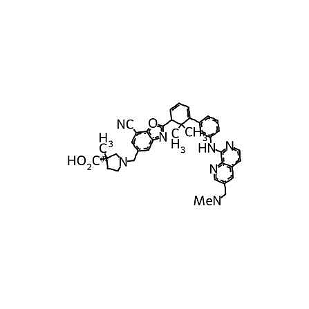 CNCc1cnc2c(Nc3cccc(C4=CC=CC(c5nc6cc(CN7CC[C@@](C)(C(=O)O)C7)cc(C#N)c6o5)C4(C)C)c3)nccc2c1